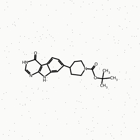 CC(C)(C)OC(=O)N1CCC(c2ccc3c(c2)[nH]c2nc[nH]c(=O)c23)CC1